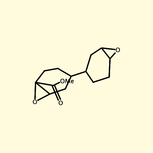 COC(=O)C12CCC(C3CCC4OC4C3)CC1O2